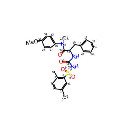 CCc1ccc(C)c(S(=O)(=O)NC(=O)NC(Cc2ccccc2)C(=O)N(CC)c2ccc(OC)cc2)c1